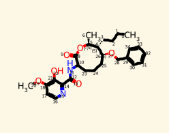 CCCC[C@H]1[C@H](C)OC(=O)C(NC(=O)c2nccc(OC)c2O)CCC[C@@H]1OCc1ccccc1